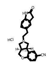 Cl.N#Cc1ccc2c(c1)[C@H]1CN(CCc3ccc4c(c3)CC(=O)N4)C[C@@H]1CO2